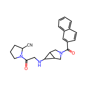 N#CC1CCCN1C(=O)CNC1C2CN(C(=O)c3ccc4ccccc4c3)CC21